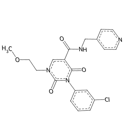 COCCn1cc(C(=O)NCc2ccncc2)c(=O)n(-c2cccc(Cl)c2)c1=O